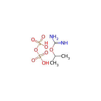 CC(C)OC(=N)N.O=S(=O)(O)OS(=O)(=O)O